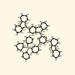 c1ccc(S(c2ccccc2)(c2ccccc2)c2cccc(-c3cc(-c4cccc5c4oc4ccccc45)nc(-n4c5ccccc5c5cc(-n6c7ccccc7c7ccccc76)ccc54)n3)c2)cc1